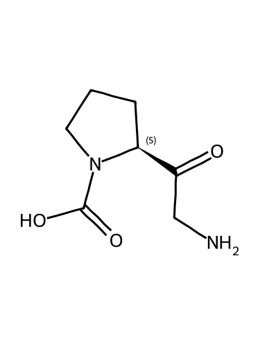 NCC(=O)[C@@H]1CCCN1C(=O)O